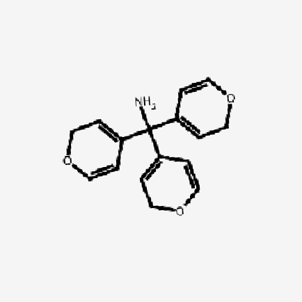 NC(C1=CCOC=C1)(C1=CCOC=C1)C1=CCOC=C1